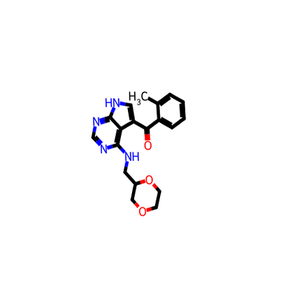 Cc1ccccc1C(=O)c1c[nH]c2ncnc(NCC3COCCO3)c12